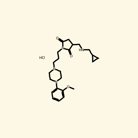 COc1ccccc1N1CCN(CCCN2C(=O)CC(CNCC3CC3)C2=O)CC1.Cl